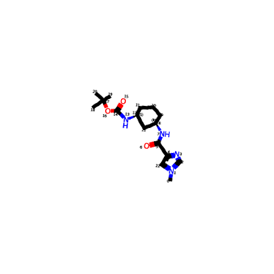 Cn1cnc(C(=O)N[C@@H]2CCC[C@H](NC(=O)OC(C)(C)C)C2)c1